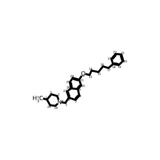 CC1CCN(Cc2ccc3cc(OCCCCCc4ccccc4)ccc3c2)CC1